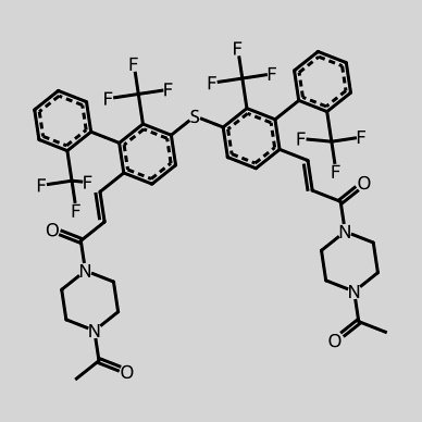 CC(=O)N1CCN(C(=O)/C=C/c2ccc(Sc3ccc(/C=C/C(=O)N4CCN(C(C)=O)CC4)c(-c4ccccc4C(F)(F)F)c3C(F)(F)F)c(C(F)(F)F)c2-c2ccccc2C(F)(F)F)CC1